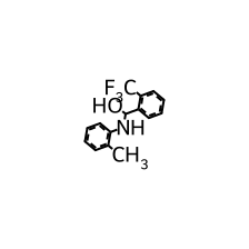 Cc1ccccc1NC(O)c1ccccc1C(F)(F)F